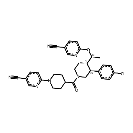 C[C@H](Oc1ccc(C#N)cn1)[C@H]1CCN(C(=O)C2CCN(c3ccc(C#N)cn3)CC2)C[C@@H]1c1ccc(Cl)cc1